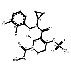 CC[C@@H]1C(C(=O)N(Cc2cccc(Cl)c2Cl)C2CC2)=C(OS(=O)(=O)C(F)(F)F)CCN1C(=O)OC(C)(C)C